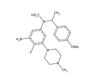 COc1ccc(C(C)N(C(=O)O)c2cc(N)c(F)c(N3CCN(C)CC3)c2)cc1